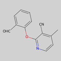 Cc1ccnc(Oc2ccccc2C=O)c1C#N